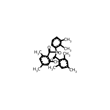 Cc1cc(C)c(C(=O)P(=O)(C(=O)c2c(C)cc(C)cc2C)c2cccc(C)c2C)c(C)c1